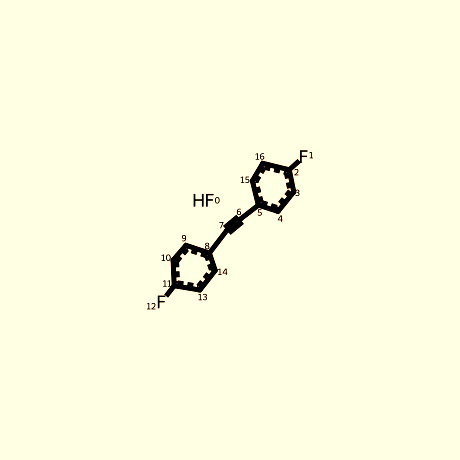 F.Fc1ccc(C#Cc2ccc(F)cc2)cc1